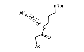 CCCCCCCCCCCCOC(=O)CC(C)=O.[Al+3].[Al+3].[O-2].[O-2].[O-2]